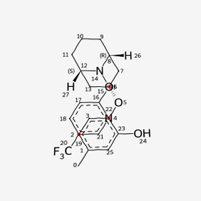 Cc1ccc(O[C@H]2C[C@H]3CCC[C@@H](C2)N3Oc2ccc(C(F)(F)F)cn2)c(O)c1